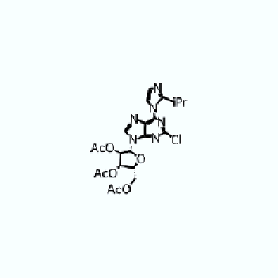 CC(=O)OC[C@H]1O[C@@H](n2cnc3c(-n4ccnc4C(C)C)nc(Cl)nc32)[C@H](OC(C)=O)[C@@H]1OC(C)=O